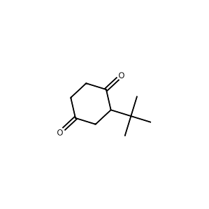 CC(C)(C)C1CC(=O)CCC1=O